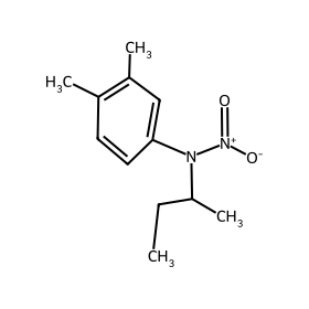 CCC(C)N(c1ccc(C)c(C)c1)[N+](=O)[O-]